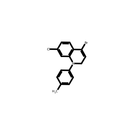 Cc1ccc(N2CC=C(Br)c3ccc(Cl)cc32)cc1